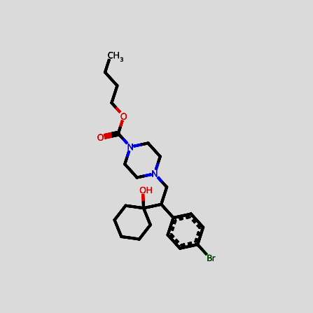 CCCCOC(=O)N1CCN(CC(c2ccc(Br)cc2)C2(O)CCCCC2)CC1